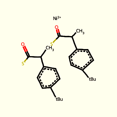 CC(C(=O)[S-])c1ccc(C(C)(C)C)cc1.CC(C(=O)[S-])c1ccc(C(C)(C)C)cc1.[Ni+2]